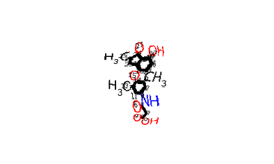 Cc1cc(NC(=O)CC(=O)O)cc(C)c1Oc1ccc(O)c2c1CC(C)C2=O